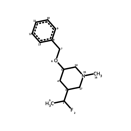 CC(F)C1CC(OCc2ccccc2)CN(C)C1